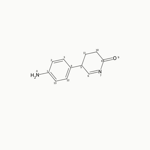 Nc1ccc(C2C=NC(=O)CC2)cc1